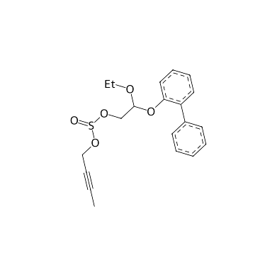 CC#CCOS(=O)OCC(OCC)Oc1ccccc1-c1ccccc1